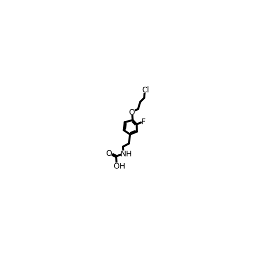 O=C(O)NCCc1ccc(OCCCCl)c(F)c1